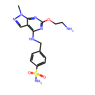 Cn1ncc2c(NCc3ccc(S(N)(=O)=O)cc3)nc(OCCN)nc21